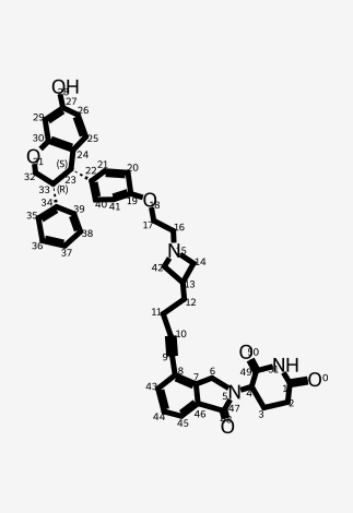 O=C1CCC(N2Cc3c(C#CCCC4CN(CCOc5ccc([C@H]6c7ccc(O)cc7OC[C@H]6c6ccccc6)cc5)C4)cccc3C2=O)C(=O)N1